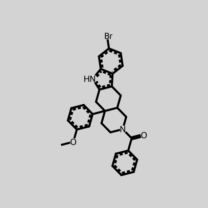 COc1cccc(C23CCN(C(=O)c4ccccc4)CC2Cc2c([nH]c4cc(Br)ccc24)C3)c1